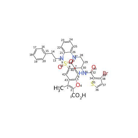 Cc1c(C(=O)O)oc2ccc(S(=O)(=O)N(CCc3ccccc3)c3ccccc3N3CCC(NC(=O)c4sccc4Br)CC3)cc12